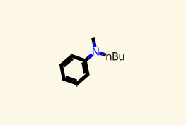 CCCCN(C)c1c[c]ccc1